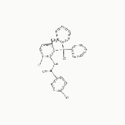 CCC(c1ccccc1)(c1ccccc1)c1c(C(=O)O)ccc(Cl)c1NC(=O)c1ccc(Cl)cc1